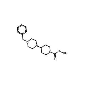 CC(C)(C)OC(=O)N1CCC(N2CCN(Cc3ccccc3)CC2)CC1